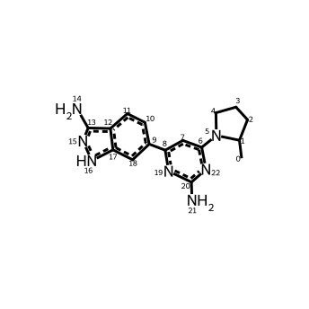 CC1CCCN1c1cc(-c2ccc3c(N)n[nH]c3c2)nc(N)n1